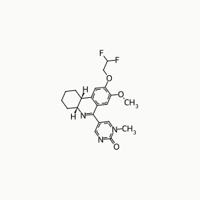 COc1cc2c(cc1OCC(F)F)[C@H]1CCCC[C@H]1N=C2c1cnc(=O)n(C)c1